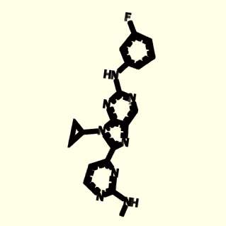 CNc1nccc(-c2nc3cnc(Nc4cccc(F)c4)nc3n2C2CC2)n1